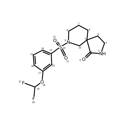 O=C1NCCC12CCCN(S(=O)(=O)c1cccc(OC(F)F)c1)C2